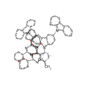 C=C(/C=C\C(=C(/C)c1nc(-c2ccccc2)nc(-c2ccccc2)n1)n1c2ccc(-n3c4ccccc4c4ccccc43)cc2c2cc(-n3c4ccccc4c4ccccc43)ccc21)c1cc(-c2ccccc2)nc(-c2ccccc2)n1